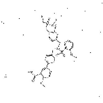 COC(=O)c1cc(-c2ccc(C[As](Cc3ccc(CP(=O)(OF)OF)c(Cl)c3)S(=O)(=O)c3ccccc3OC)cc2)ccc1OC